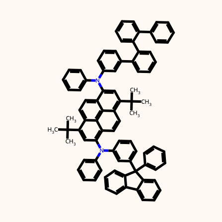 CC(C)(C)c1cc(N(c2ccccc2)c2cccc(-c3ccccc3-c3ccccc3-c3ccccc3)c2)c2ccc3c(C(C)(C)C)cc(N(c4ccccc4)c4cccc(C5(c6ccccc6)c6ccccc6-c6ccccc65)c4)c4ccc1c2c43